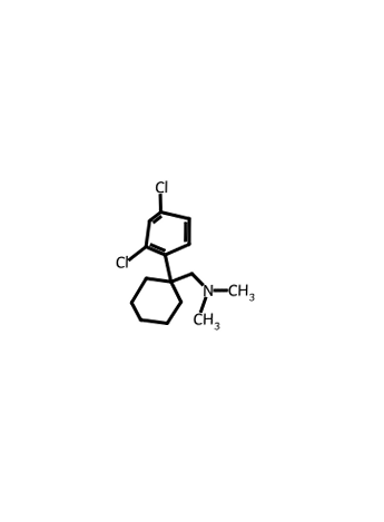 CN(C)CC1(c2ccc(Cl)cc2Cl)CCCCC1